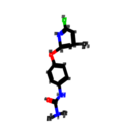 CCN(CC)C(=O)Nc1ccc(Oc2cc(C(F)(F)F)cc(Cl)n2)cc1